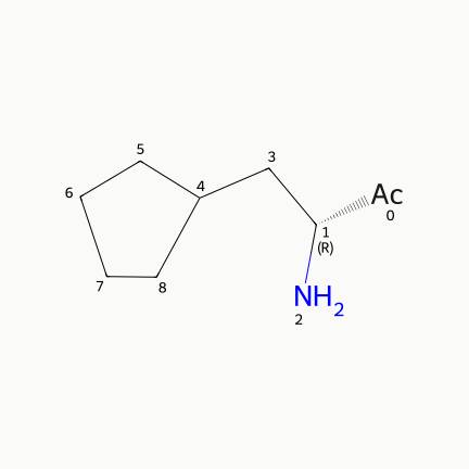 CC(=O)[C@H](N)CC1CCCC1